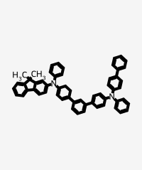 CC1(C)c2ccccc2-c2ccc(N(C3=CC=C(c4cccc(-c5ccc(N(c6ccccc6)c6ccc(-c7ccccc7)cc6)cc5)c4)CC3)c3ccccc3)cc21